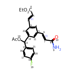 CCOC(=O)/C=C/c1cc(/C=C/C(N)=O)cc(C(OC(C)=O)c2ccc(F)cc2)c1